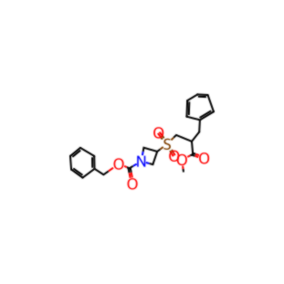 COC(=O)C(Cc1ccccc1)CS(=O)(=O)C1CN(C(=O)OCc2ccccc2)C1